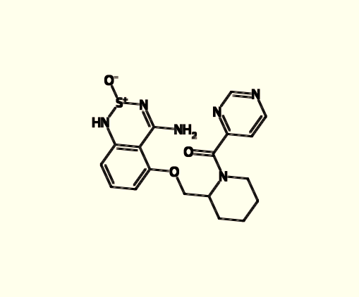 NC1=N[S+]([O-])Nc2cccc(OCC3CCCCN3C(=O)c3ccncn3)c21